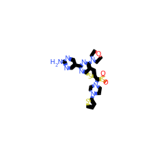 Nc1ncc(-c2nc(N3CCOCC3)c3cc(C(N4CCN(c5cccs5)CC4)=S(=O)=O)sc3n2)cn1